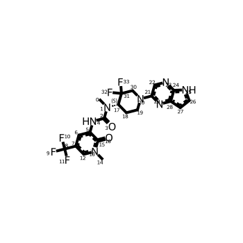 CN(C(=O)Nc1cc(C(F)(F)F)cn(C)c1=O)[C@H]1CCN(c2cnc3[nH]ccc3n2)CC1(F)F